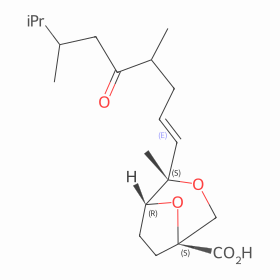 CC(C/C=C/[C@]1(C)OC[C@]2(C(=O)O)CC[C@H]1O2)C(=O)CC(C)C(C)C